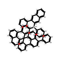 c1ccc(-c2cc3ccccc3cc2N(c2ccccc2)c2ccc3c(c2)C2(c4ccccc4-c4ccc(-c5ccccc5)c5cccc2c45)c2cccc4cccc-3c24)cc1